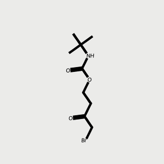 CC(C)(C)NC(=O)OCCC(=O)CBr